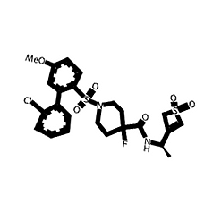 COc1ccc(S(=O)(=O)N2CCC(F)(C(=O)N[C@H](C)C3=CS(=O)(=O)C3)CC2)c(-c2ccccc2Cl)c1